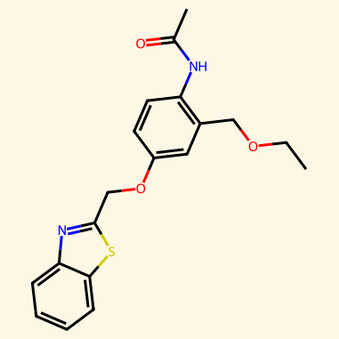 CCOCc1cc(OCc2nc3ccccc3s2)ccc1NC(C)=O